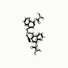 C#CCN(Cc1ccc(OC(=O)N(C)C)c2ncccc12)Cc1ccc(OC(=O)N(C)C)c2ncccc12